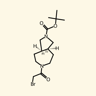 CC(C)(C)OC(=O)N1C[C@H]2CCN(C(=O)CBr)CC[C@H]2C1